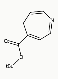 CC(C)(C)OC(=O)C1=CC=NC=CC1